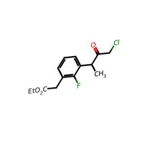 CCOC(=O)Cc1cccc(C(C)C(=O)CCl)c1F